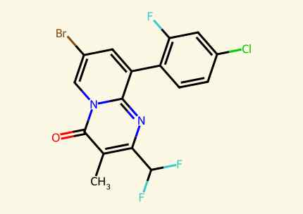 Cc1c(C(F)F)nc2c(-c3ccc(Cl)cc3F)cc(Br)cn2c1=O